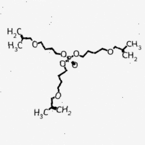 C=C(C)COCCCCOP(=O)(OCCCCOCC(=C)C)OCCCCOCC(=C)C